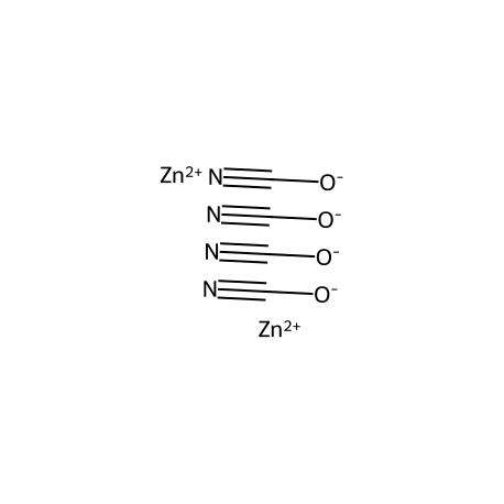 N#C[O-].N#C[O-].N#C[O-].N#C[O-].[Zn+2].[Zn+2]